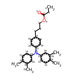 CCC(=O)OCCCc1ccc(N(c2ccc(C)c(C)c2)c2ccc(C)c(C)c2)cc1